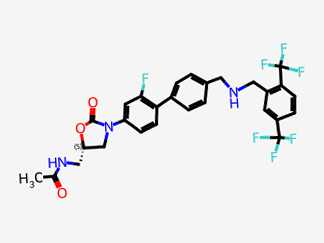 CC(=O)NC[C@H]1CN(c2ccc(-c3ccc(CNCc4cc(C(F)(F)F)ccc4C(F)(F)F)cc3)c(F)c2)C(=O)O1